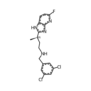 C[C@H](CCNCc1cc(Cl)cc(Cl)c1)c1nc2nc(F)ccc2[nH]1